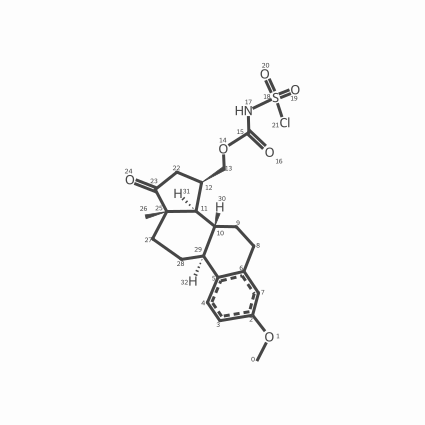 COc1ccc2c(c1)CC[C@H]1[C@@H]3[C@H](COC(=O)NS(=O)(=O)Cl)CC(=O)[C@@]3(C)CC[C@H]21